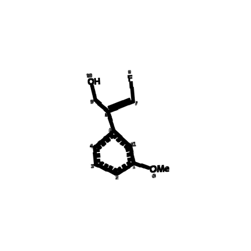 COc1cccc(C(=CF)CO)c1